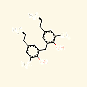 C=CCc1cc(C)c(O)c(Cc2cc(CC=C)cc(C)c2O)c1